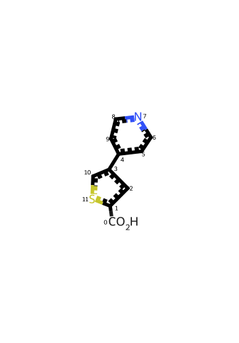 O=C(O)c1cc(-c2ccncc2)cs1